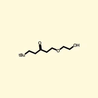 CC(C)(C)CCC(=O)CCOCCO